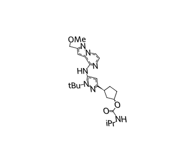 COCc1cc2c(Nc3cc([C@H]4CC[C@@H](OC(=O)NC(C)C)C4)nn3C(C)(C)C)nccn2n1